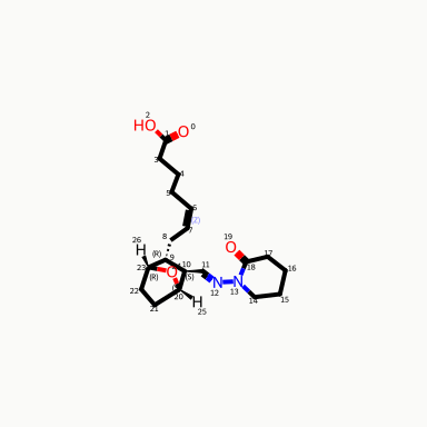 O=C(O)CCC/C=C\C[C@@H]1[C@@H](C=NN2CCCCC2=O)[C@@H]2CC[C@H]1O2